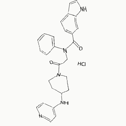 Cl.O=C(CN(C(=O)c1ccc2cc[nH]c2c1)c1ccccc1)N1CCC(Nc2ccncc2)CC1